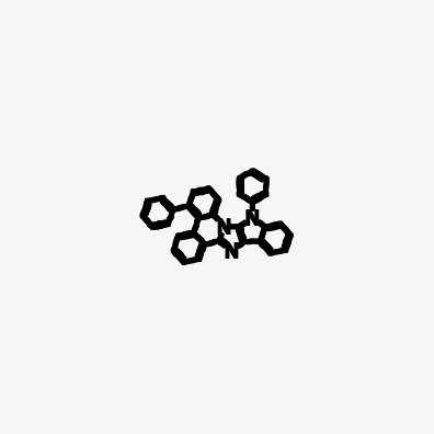 c1ccc(-c2cccc3c2c2ccccc2c2nc4c5ccccc5n(-c5ccccc5)c4n32)cc1